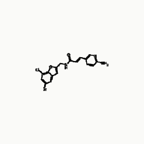 Nc1ccc(/C=C/C(=O)NCc2cc3cc(Br)cc(Cl)c3o2)cn1